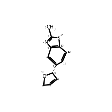 Cc1nc2cc([C@@H]3C=CCO3)ccc2s1